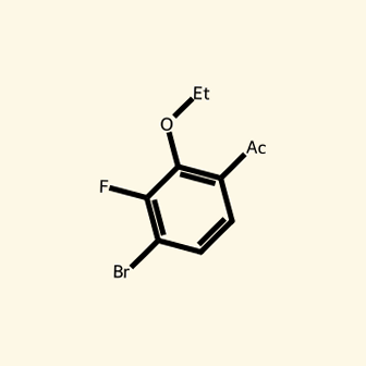 CCOc1c(C(C)=O)ccc(Br)c1F